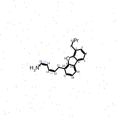 CC(C)Cc1cccc2c1oc1c(C/C=C\C=C/N)cccc12